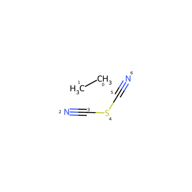 CC.N#CSC#N